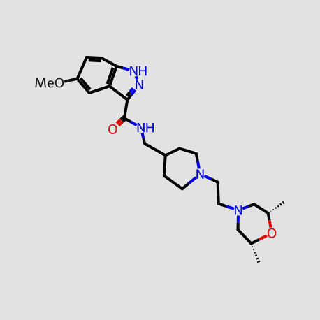 COc1ccc2[nH]nc(C(=O)NCC3CCN(CCN4C[C@@H](C)O[C@@H](C)C4)CC3)c2c1